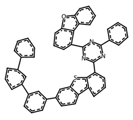 c1ccc(-c2cccc(-c3cccc(-c4ccc5c(c4)sc4c(-c6nc(-c7ccccc7)nc(-c7cccc8oc9ccccc9c78)n6)cccc45)c3)c2)cc1